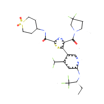 CC[C@H](Nc1cc(C(F)F)c(-c2sc(C(=O)NC3CCS(=O)(=O)CC3)nc2C(=O)N2CC(F)(F)C[C@@H]2C)cn1)C(F)(F)F